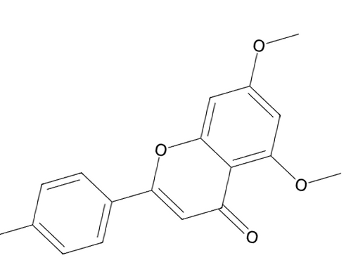 COc1cc(OC)c2c(=O)cc(-c3ccc(F)cc3)oc2c1